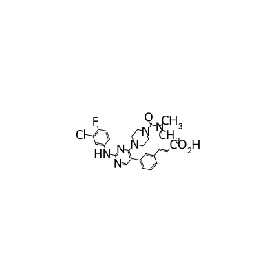 CN(C)C(=O)N1CCN(c2nc(Nc3ccc(F)c(Cl)c3)ncc2-c2cccc(C=CC(=O)O)c2)CC1